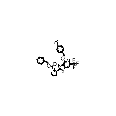 COc1ccc(COc2nc(C(F)(F)F)cc3sc(C4CCCN4C(=O)OCc4ccccc4)nc23)cc1